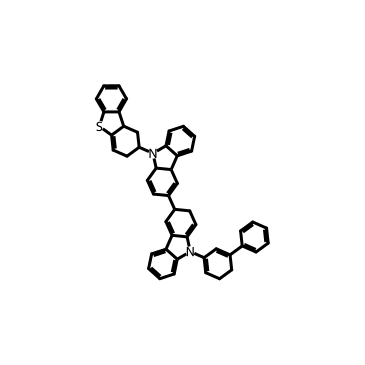 C1=CC2C(C=C1C1C=c3c(n(C4=CCCC(c5ccccc5)=C4)c4ccccc34)=CC1)c1ccccc1N2C1CC=C2Sc3ccccc3C2C1